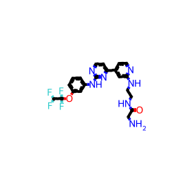 NCC(=O)NCCNc1cc(-c2ccnc(Nc3cccc(OC(F)(F)C(F)F)c3)n2)ccn1